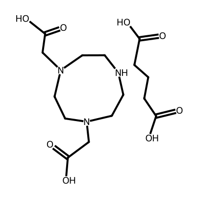 O=C(O)CCCC(=O)O.O=C(O)CN1CCNCCN(CC(=O)O)CC1